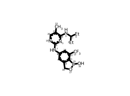 CCC(CC)Nc1nc(Nc2cc3c(c(C(F)(F)F)c2)B(O)OC3)ncc1C